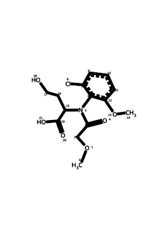 COCC(=O)N(c1c(Cl)cccc1OC)C(CCO)C(=O)O